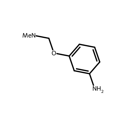 CNCOc1cccc(N)c1